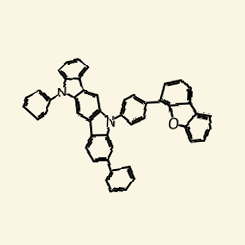 c1ccc(-c2ccc3c4cc5c(cc4n(-c4ccc(-c6cccc7c6oc6ccccc67)cc4)c3c2)c2ccccc2n5-c2ccccc2)cc1